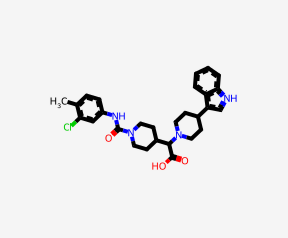 Cc1ccc(NC(=O)N2CCC(C(C(=O)O)N3CCC(c4c[nH]c5ccccc45)CC3)CC2)cc1Cl